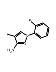 Nc1nn(-c2ccccc2F)cc1I